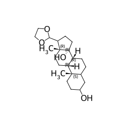 C[C@]12CCC(O)CC1CC[C@@H]1[C@H]2CC[C@]2(C)C(C3OCCO3)CC[C@@]12O